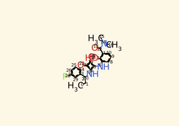 CC[C@H](Nc1c(Nc2cccc(C(=O)N(C)C)c2O)c(=O)c1=O)c1cccc(F)c1